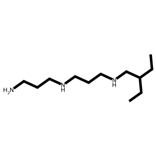 CCC(CC)CNCCCNCCCN